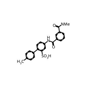 CNC(=O)c1cccc(C(=O)Nc2ccc(-c3ccc(C)cc3)c(S(=O)(=O)O)c2)c1